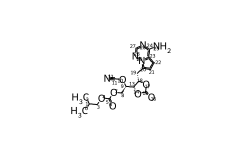 CC(C)COC(=O)OC[C@@H](OC#N)[C@H]1OC(=O)O[C@H]1Cc1ccc2c(N)ncnn12